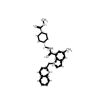 COC(=O)[C@H]1CC[C@H](CNC(=O)c2cc(C)cc3ccn(Cc4ccc5ccccc5n4)c23)CC1